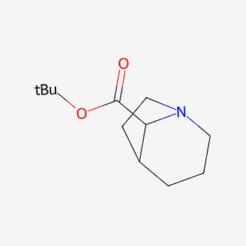 CC(C)(C)OC(=O)C1C2CCCN1CC2